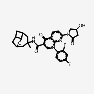 CC1(NC(=O)c2cn(-c3ccc(F)cc3F)c3nc(N4C[C@@H](O)CC4=O)ccc3c2=O)CC2CC3CC(C1)C3C2